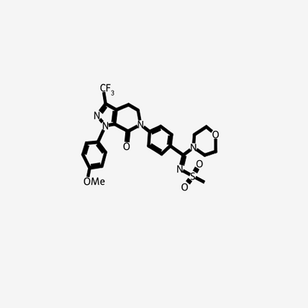 COc1ccc(-n2nc(C(F)(F)F)c3c2C(=O)N(c2ccc(C(=NS(C)(=O)=O)N4CCOCC4)cc2)CC3)cc1